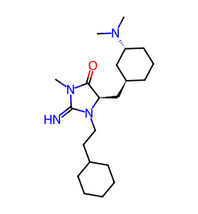 CN1C(=N)N(CCC2CCCCC2)[C@H](C[C@@H]2CCC[C@@H](N(C)C)C2)C1=O